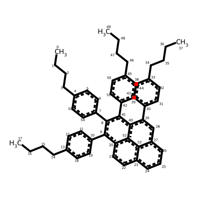 CCCCc1ccc(-c2c(-c3ccc(CCCC)cc3)c3ccc4cccc5cc(-c6ccc(CCCC)cc6)c(c2-c2ccc(CCCC)cc2)c3c45)cc1